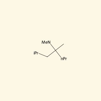 CCCC(C)(CC(C)C)NC